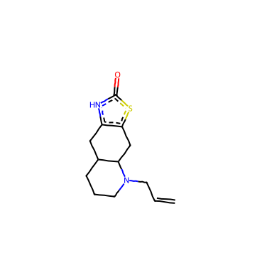 C=CCN1CCCC2Cc3[nH]c(=O)sc3CC21